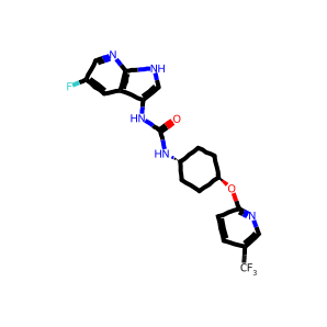 O=C(Nc1c[nH]c2ncc(F)cc12)N[C@H]1CC[C@H](Oc2ccc(C(F)(F)F)cn2)CC1